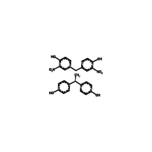 CC(c1ccc(O)cc1)c1ccc(O)cc1.O=[N+]([O-])c1cc(Cc2ccc(O)c([N+](=O)[O-])c2)ccc1O